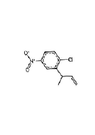 C=C[C](C)c1cc([N+](=O)[O-])ccc1Cl